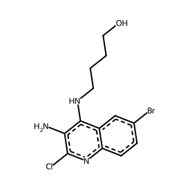 Nc1c(Cl)nc2ccc(Br)cc2c1NCCCCO